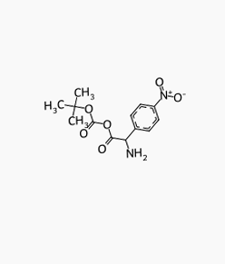 CC(C)(C)OC(=O)OC(=O)C(N)c1ccc([N+](=O)[O-])cc1